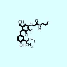 C=Cc1cc(OCC(=O)NCCF)c(F)c(Cl)c1Cc1ccc(O)c(C(C)C)c1